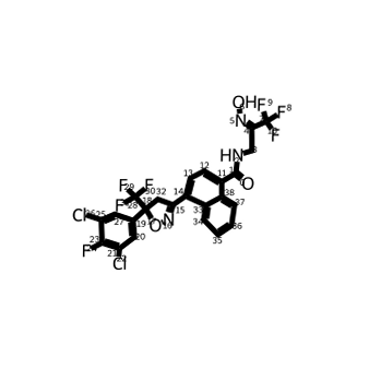 O=C(NCC(=NO)C(F)(F)F)c1ccc(C2=NOC(c3cc(Cl)c(F)c(Cl)c3)(C(F)(F)F)C2)c2ccccc12